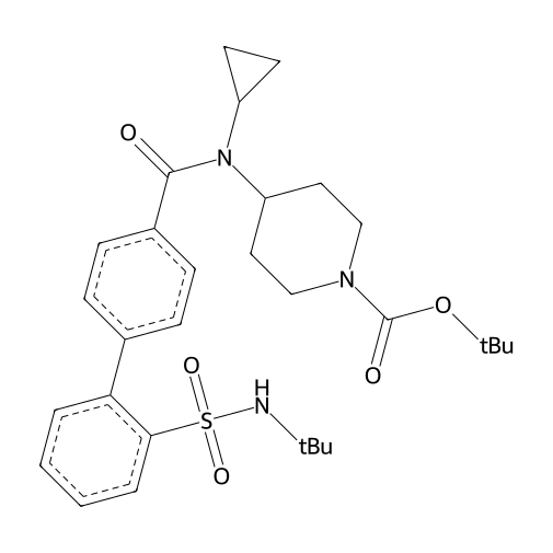 CC(C)(C)NS(=O)(=O)c1ccccc1-c1ccc(C(=O)N(C2CC2)C2CCN(C(=O)OC(C)(C)C)CC2)cc1